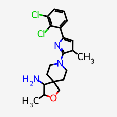 CC1C=C(c2cccc(Cl)c2Cl)N=C1N1CCC2(CC1)COC(C)C2N